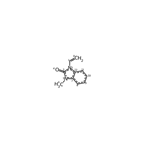 C=Cn1c(=O)n(C)c2ccccc21